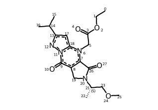 CCOC(=O)Cn1c2c(c(=O)n3nc(C(C)C)cc13)CN([C@@H](C)COC)C2=O